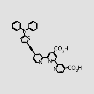 O=C(O)c1ccnc(-c2cc(C(=O)O)cc(-c3cc(C#Cc4ccc(N(c5ccccc5)c5ccccc5)s4)ccn3)n2)c1